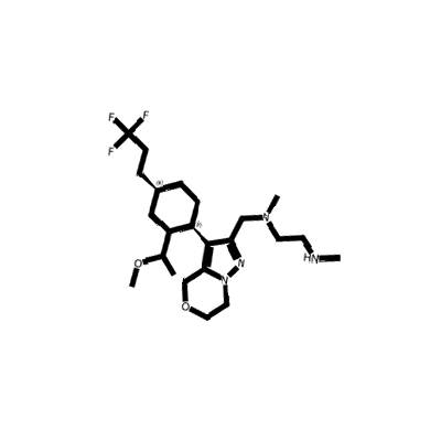 CNCCN(C)Cc1nn2c(c1[C@@H]1CC[C@H](CCC(F)(F)F)CC1C(C)OC)COCC2